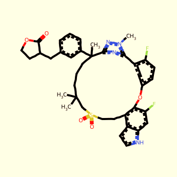 Cn1nc2nc1-c1cc(ccc1F)Oc1c(F)cc3[nH]ccc3c1CCS(=O)(=O)CC(C)(C)CCCC2(C)c1cccc(CC2CCOC2=O)c1